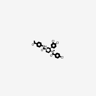 CC(=O)c1ccc(NC(=O)N2CC[C@@H](N(C)C(=O)c3ccc(Cl)cc3)[C@H](c3ccc(Cl)c(Cl)c3)C2)cc1